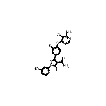 NC(=O)c1c(-c2ccc(Oc3ncnc(N)c3Cl)c(F)c2)nn(-c2cc(O)ccn2)c1C(F)(F)F